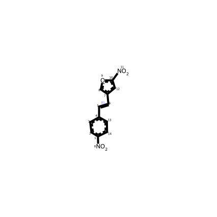 O=[N+]([O-])c1ccc(/C=C/c2coc([N+](=O)[O-])c2)cc1